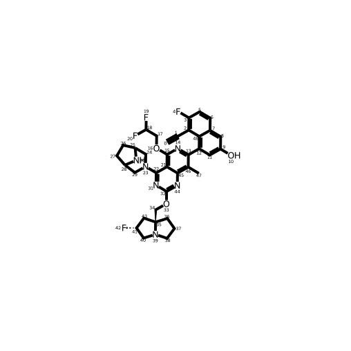 C#Cc1c(F)ccc2cc(O)cc(-c3nc(OCC(F)F)c4c(N5CC6CCC(C5)N6)nc(OC[C@@]56CCCN5C[C@H](F)C6)nc4c3C)c12